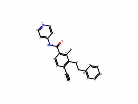 C#Cc1ccc(C(=O)Nc2ccncc2)c(C)c1CCc1ccccc1